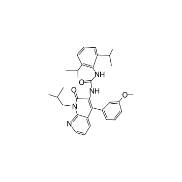 COc1cccc(-c2c(NC(=O)Nc3c(C(C)C)cccc3C(C)C)c(=O)n(CC(C)C)c3ncccc23)c1